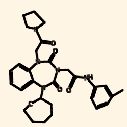 Cc1cccc(NC(=O)CN2C(=O)N(CC(=O)N3CCCC3)c3ccccc3N(C3CCCCCC3)C2=O)c1